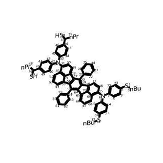 CCCCSc1ccc(N(c2ccc(SCCCC)cc2)c2ccc3c4c(-c5ccccc5)c5c6ccc(N(c7ccc(C(S)CCC)cc7)c7ccc(C(S)CCC)cc7)c7cccc(c5c(-c5ccccc5)c4c4cccc2c43)c76)cc1